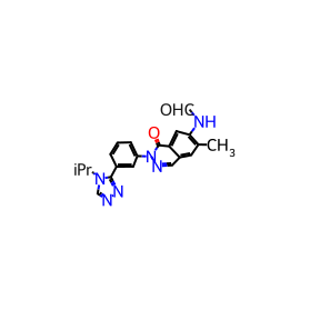 Cc1cc2cnn(-c3cccc(-c4nncn4C(C)C)c3)c(=O)c2cc1NC=O